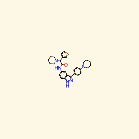 O=C(Nc1ccc2[nH]nc(-c3ccc(N4CCCCC4)cc3)c2c1)C(c1ccsc1)N1CCCCC1